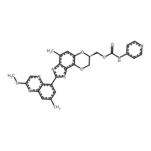 COc1cnc2c(-c3nc4c(C)cc5c(c4s3)OC[C@H](COC(=O)Nc3ccncc3)O5)cc(C)cc2n1